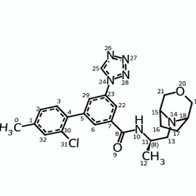 Cc1ccc(-c2cc(C(=O)N[C@H](C)CN3C4CCC3COC4)cc(-n3cnnn3)c2)c(Cl)c1